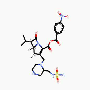 CC(C)[C@H]1C(=O)N2C(C(=O)OC(=O)c3ccc([N+](=O)[O-])cc3)=C(CN3CCNCC3CNS(N)(=O)=O)[C@H](C)[C@H]12